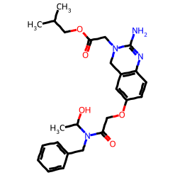 CC(C)COC(=O)CN1Cc2cc(OCC(=O)N(Cc3ccccc3)C(C)O)ccc2N=C1N